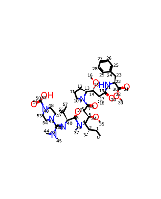 CC[C@H](C)[C@@H]([C@@H](CC(=O)N1CCC[C@H]1[C@H](OC)[C@@H](C)C(=O)N[C@@H](Cc1ccccc1)C(=O)OC)OC)N(C)C(=O)[C@@H](N=C(N(C)C)N1CCN(C(=O)O)CC1)C(C)C